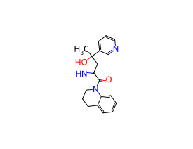 CC(O)(CC(=N)C(=O)N1CCCc2ccccc21)c1cccnc1